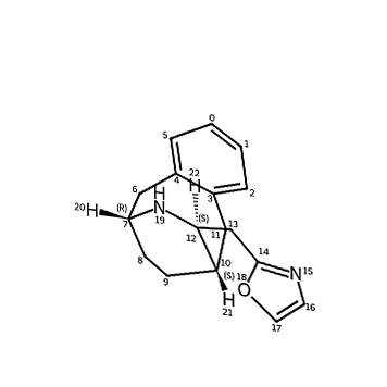 c1ccc2c(c1)C[C@H]1CC[C@@H](C2)[C@H](Cc2ncco2)N1